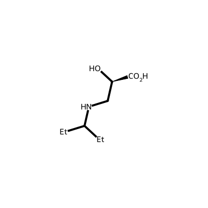 CCC(CC)NC[C@@H](O)C(=O)O